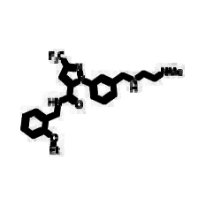 CCOc1ccccc1CNC(=O)c1cc(C(F)(F)F)nn1-c1cccc(CNCCNC)c1